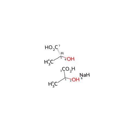 CC(O)C(=O)O.C[C@@H](O)C(=O)O.[NaH]